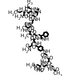 CSCC[C@H](NC(=O)[C@H](CC(C)C)NC(=O)[C@H](Cc1c[nH]cn1)NC(=O)CNC(=O)[C@@H](NC(=O)[C@H](C)NC(=O)[C@H](Cc1c[nH]c2ccccc12)NC(=O)[C@H](CCC(N)=O)NC(=O)c1ccc(NC(=O)CNC(=O)[C@H](CSCNC(C)=O)NC(=O)[C@H](CO)NC(=O)CN(C)C)cc1)C(C)C)C(N)=O